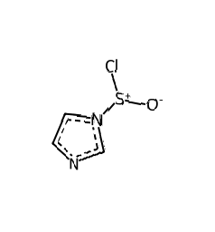 [O-][S+](Cl)n1ccnc1